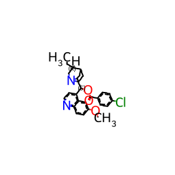 CC[C@H]1CN2CCC1CC2[C@@H](OC(=O)c1ccc(Cl)cc1)c1ccnc2ccc(OC)cc12